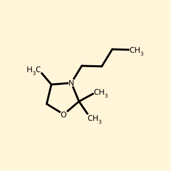 CCCCN1C(C)COC1(C)C